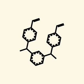 C=Cc1ccc(C(C)c2cccc(C(C)c3ccc(C=C)cc3)c2)cc1